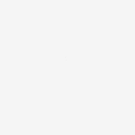 Cc1cccc2c1SC(C)(C)C2(C)C